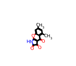 Cc1cc(C)c2c(=O)c3c(oc2c1)NC(=O)C3=O